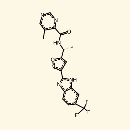 Cc1cncnc1C(=O)N[C@H](C)c1cc(-c2nc3ccc(C(F)(F)F)cc3[nH]2)no1